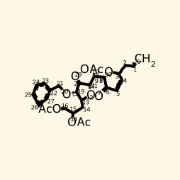 C=CCC1C=CC(=O)[C@@H]([C@@H](OC(C)=O)[C@@H]2OC(CC(COC(C)=O)OC(C)=O)[C@H](OCc3ccccc3)C2=O)O1